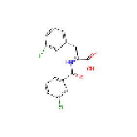 O=C(N[C@@H](Cc1cccc(F)c1)C(=O)O)c1cccc(Cl)c1